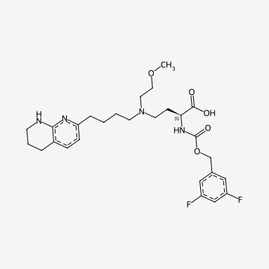 COCCN(CCCCc1ccc2c(n1)NCCC2)CC[C@H](NC(=O)OCc1cc(F)cc(F)c1)C(=O)O